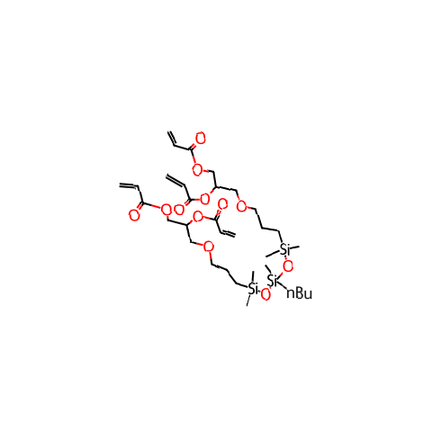 C=CC(=O)OCC(COCCC[Si](C)(C)O[Si](C)(CCCC)O[Si](C)(C)CCCOCC(COC(=O)C=C)OC(=O)C=C)OC(=O)C=C